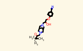 CC(C)(C)C(=O)CN1CC2CC(C1)CN(CC(O)COc1ccc(C#N)cc1)C2